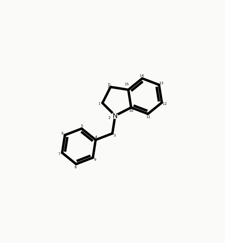 [C]1CN(Cc2ccccc2)c2ccccc21